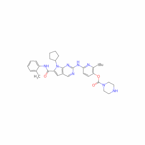 Cc1ccccc1NC(=O)c1cc2cnc(Nc3ccc(OC(=O)N4CCNCC4)c(C(C)(C)C)n3)nc2n1C1CCCC1